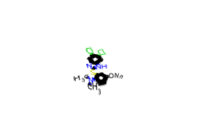 COc1ccc(N(C)C)c(Sc2nc3cc(Cl)c(Cl)cc3[nH]2)c1